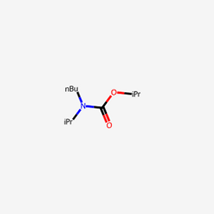 CCCCN(C(=O)OC(C)C)C(C)C